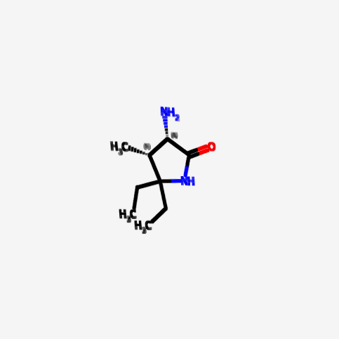 CCC1(CC)NC(=O)[C@@H](N)[C@H]1C